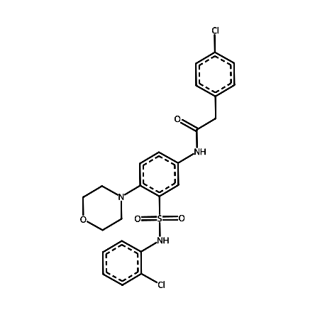 O=C(Cc1ccc(Cl)cc1)Nc1ccc(N2CCOCC2)c(S(=O)(=O)Nc2ccccc2Cl)c1